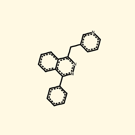 c1ccc(-c2nnc(Cc3cccnc3)c3ccccc23)cc1